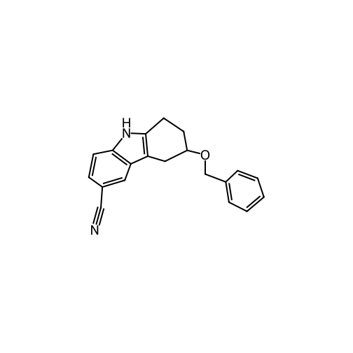 N#Cc1ccc2[nH]c3c(c2c1)CC(OCc1ccccc1)CC3